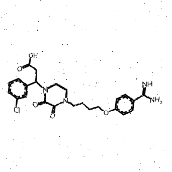 N=C(N)c1ccc(OCCCCN2CCN(C(CC(=O)O)c3cccc(Cl)c3)C(=O)C2=O)cc1